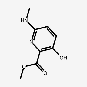 CNc1ccc(O)c(C(=O)OC)n1